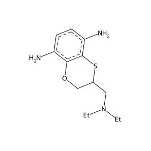 CCN(CC)CC1COc2c(N)ccc(N)c2S1